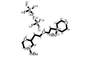 CCCC[NH+]1CCOC(CCOCC[N+]2(CCCC)CCOCC2)C1.F[B-](F)(F)F.F[B-](F)(F)F